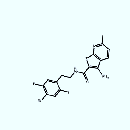 Cc1ccc2c(N)c(C(=O)NCCc3cc(F)c(Br)cc3F)sc2n1